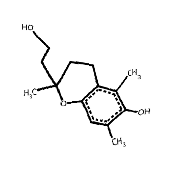 Cc1cc2c(c(C)c1O)CCC(C)(CCO)O2